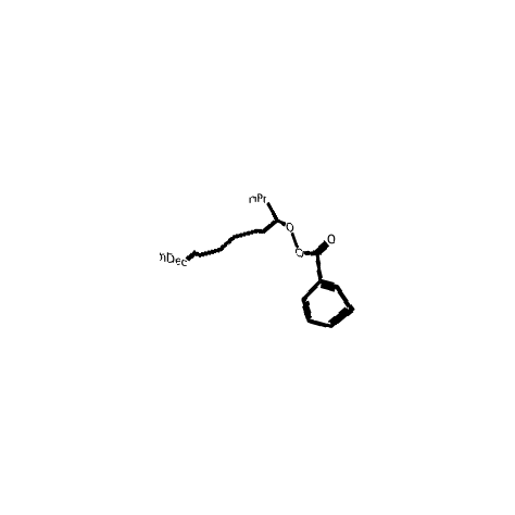 CCCCCCCCCCCCCCC(CCC)OOC(=O)c1ccccc1